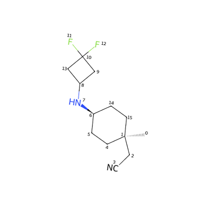 C[C@]1(CC#N)CC[C@@H](NC2CC(F)(F)C2)CC1